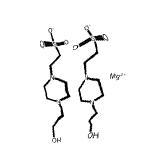 O=S(=O)([O-])CCN1CCN(CCO)CC1.O=S(=O)([O-])CCN1CCN(CCO)CC1.[Mg+2]